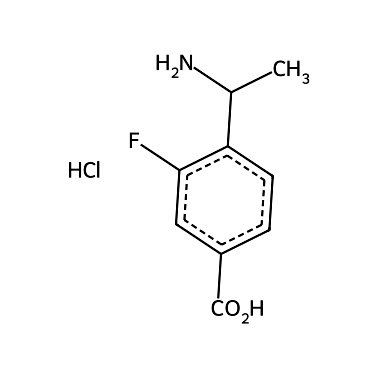 CC(N)c1ccc(C(=O)O)cc1F.Cl